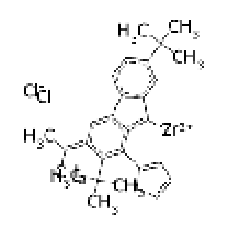 CC(C)=c1cc2c(c(C3=CC=CC3)c1C(C)(C)C)=[C]([Zr+2])c1cc(C(C)(C)C)ccc1-2.[Cl-].[Cl-]